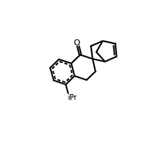 CC(C)c1cccc2c1CCC1(CC3C=CC1C3)C2=O